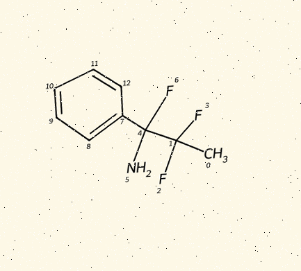 CC(F)(F)C(N)(F)c1ccccc1